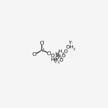 O.O.O.O.O.O.[Cl][Al]([Cl])[Cl].[Y]